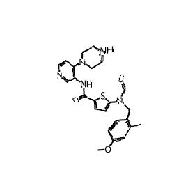 COc1ccc(CN(C=O)c2ccc(C(=O)Nc3cnccc3N3CCNCC3)s2)c(C)c1